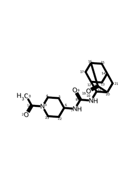 CC(=O)N1CCC(NC(=O)NC2C3CC4CC(C3)C(=O)C2C4)CC1